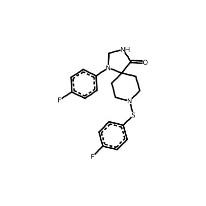 O=C1NCN(c2ccc(F)cc2)C12CCN(Sc1ccc(F)cc1)CC2